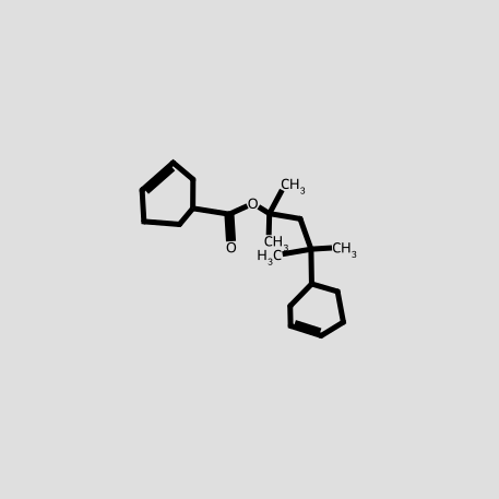 CC(C)(CC(C)(C)C1CC=CCC1)OC(=O)C1CC=CCC1